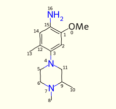 COc1cc(N2CCN(C)C(C)C2)c(C)cc1N